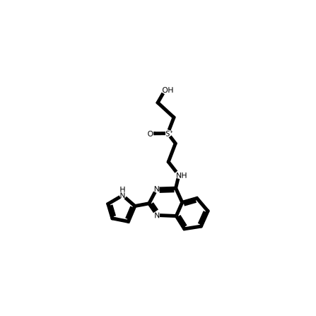 [O-][S+](CCO)CCNc1nc(-c2ccc[nH]2)nc2ccccc12